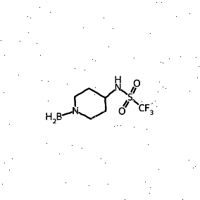 BN1CCC(NS(=O)(=O)C(F)(F)F)CC1